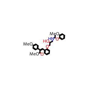 COC(=O)C(=Cc1ccccc1OCC(O)CNC(C)Oc1ccccc1OC)c1ccc(OC)cc1